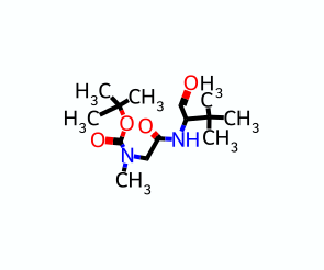 CN(CC(=O)NC(C=O)C(C)(C)C)C(=O)OC(C)(C)C